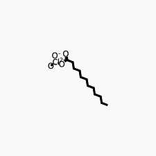 CCCCCCCCCCCC(=O)O[Cl+2]([O-])[O-]